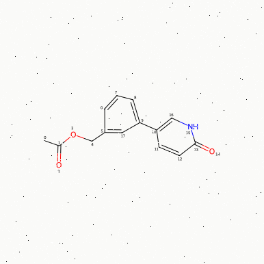 CC(=O)OCc1cccc(-c2ccc(=O)[nH]c2)c1